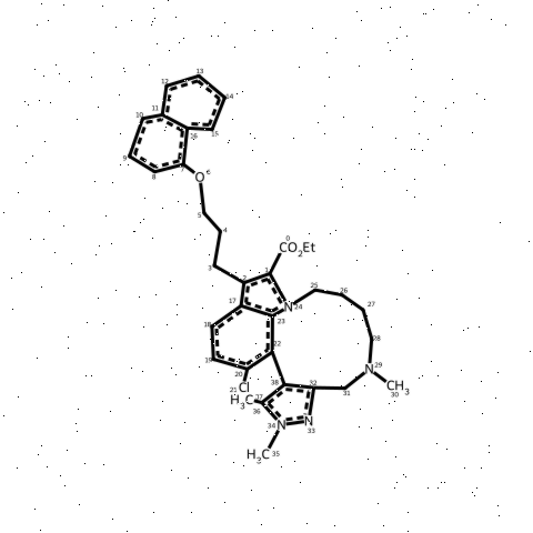 CCOC(=O)c1c(CCCOc2cccc3ccccc23)c2ccc(Cl)c3c2n1CCCCN(C)Cc1nn(C)c(C)c1-3